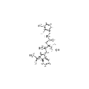 C[C@H](CO)N(CC(=O)NCc1cccc(Cl)c1F)C(O)Cn1nc(C(N)=O)c2ccccc21